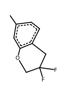 Cc1ccc2c(c1)OCC(F)(F)C2